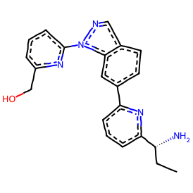 CC[C@@H](N)c1cccc(-c2ccc3cnn(-c4cccc(CO)n4)c3c2)n1